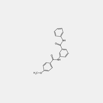 COc1ccc(C(=O)Nc2c[c]cc(C(=O)Nc3ccccc3)c2)cc1